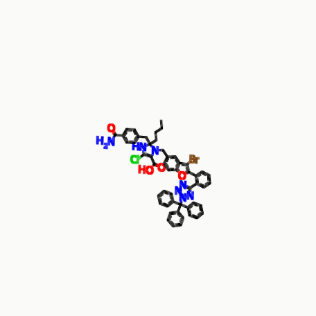 CCCCC1(Cc2ccc(C(N)=O)cc2)NC(Cl)=C(C(=O)O)N1Cc1ccc2oc(-c3ccccc3-c3nnn(C(c4ccccc4)(c4ccccc4)c4ccccc4)n3)c(Br)c2c1